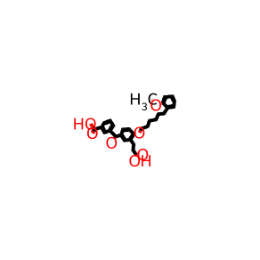 COc1ccccc1CCCCCCOc1ccc(C(=O)c2cccc(C(=O)O)c2)cc1CCC(=O)O